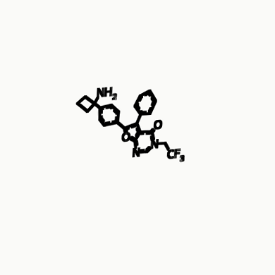 NC1(c2ccc(-c3oc4ncn(CC(F)(F)F)c(=O)c4c3-c3ccccc3)cc2)CCC1